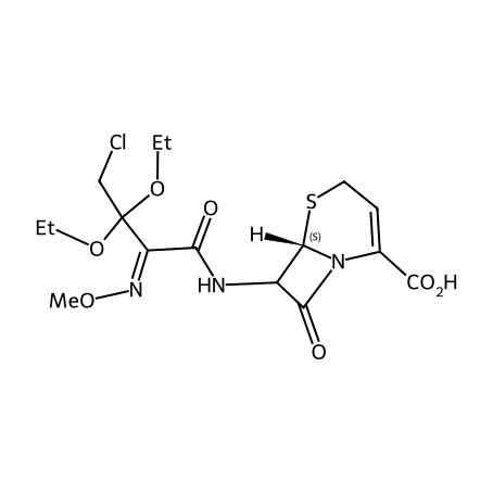 CCOC(CCl)(OCC)C(=NOC)C(=O)NC1C(=O)N2C(C(=O)O)=CCS[C@@H]12